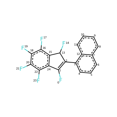 FC1=C(c2cccc3ccccc23)C(F)c2c(F)c(F)c(F)c(F)c21